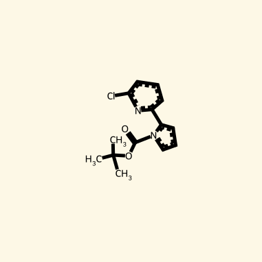 CC(C)(C)OC(=O)n1cccc1-c1cccc(Cl)n1